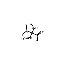 CNC(N=O)(C(C)=O)C(C)C